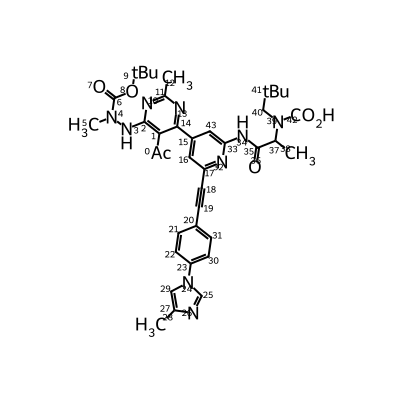 CC(=O)c1c(NN(C)C(=O)OC(C)(C)C)nc(C)nc1-c1cc(C#Cc2ccc(-n3cnc(C)c3)cc2)nc(NC(=O)C(C)N(CC(C)(C)C)C(=O)O)c1